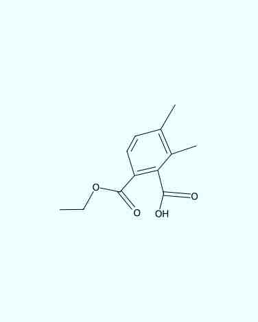 CCOC(=O)c1ccc(C)c(C)c1C(=O)O